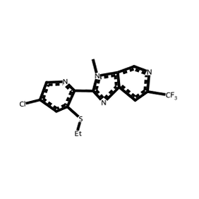 CCSc1cc(Cl)cnc1-c1nc2cc(C(F)(F)F)ncc2n1C